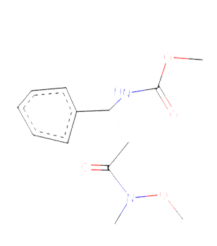 COC(=O)N[C@H](CC(=O)N(C)OC)c1ccccc1